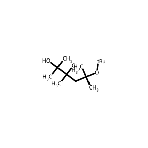 CC(C)(C)OC(C)(C)CC(C)(C)C(C)(C)O